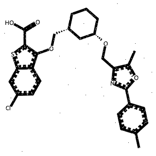 Cc1ccc(-c2nc(CO[C@H]3CCC[C@@H](COc4c(C(=O)O)sc5cc(Cl)ccc45)C3)c(C)o2)cc1